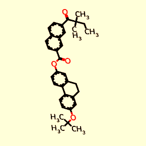 CCC(C)(C)C(=O)c1ccc2ccc(C(=O)Oc3ccc4c(c3)CCc3cc(OC(C)(C)C)ccc3-4)cc2c1